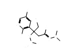 CN(C)/N=C(/CC(CF)(N[S@+]([O-])C(C)(C)C)c1cc(Br)cnc1F)C(F)(F)F